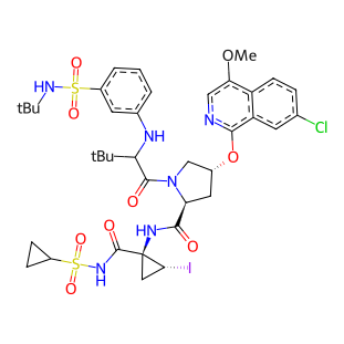 COc1cnc(O[C@@H]2C[C@@H](C(=O)N[C@]3(C(=O)NS(=O)(=O)C4CC4)C[C@H]3I)N(C(=O)C(Nc3cccc(S(=O)(=O)NC(C)(C)C)c3)C(C)(C)C)C2)c2cc(Cl)ccc12